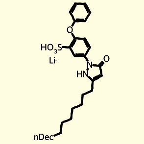 CCCCCCCCCCCCCCCCCc1cc(=O)n(-c2ccc(Oc3ccccc3)c(S(=O)(=O)O)c2)[nH]1.[Li]